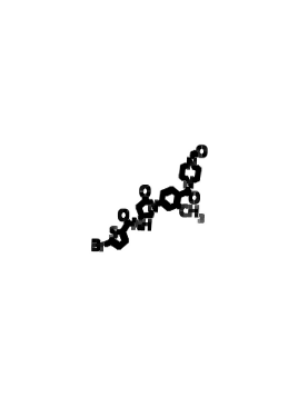 Cc1cc(N2CC(NC(=O)c3ccc(Br)s3)CC2=O)ccc1C(=O)N1CCN(C=O)CC1